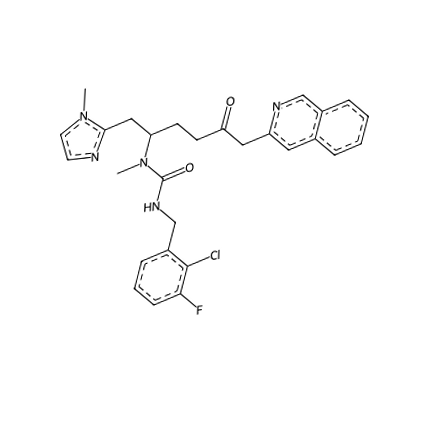 CN(C(=O)NCc1cccc(F)c1Cl)C(CCC(=O)Cc1cc2ccccc2cn1)Cc1nccn1C